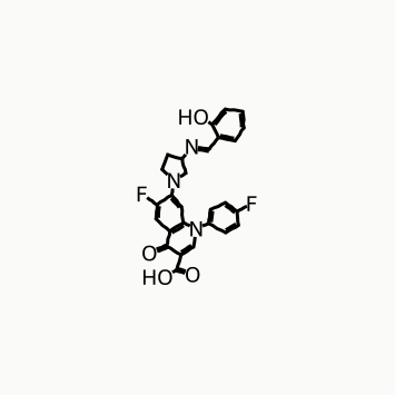 O=C(O)c1cn(-c2ccc(F)cc2)c2cc(N3CCC(N=Cc4ccccc4O)C3)c(F)cc2c1=O